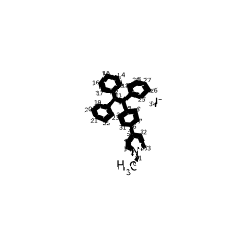 CC[n+]1ccc(-c2ccc(C(=C(c3ccccc3)c3ccccc3)c3ccccc3)cc2)cc1.[I-]